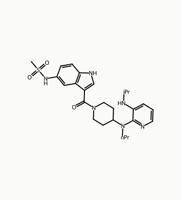 CCCN(c1ncccc1NC(C)C)C1CCN(C(=O)c2c[nH]c3ccc(NS(C)(=O)=O)cc23)CC1